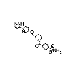 NS(=O)(=O)c1ccc(C(=O)N2CCC[C@@H](COc3ccc(-c4ccn[nH]4)nc3)C2)cc1